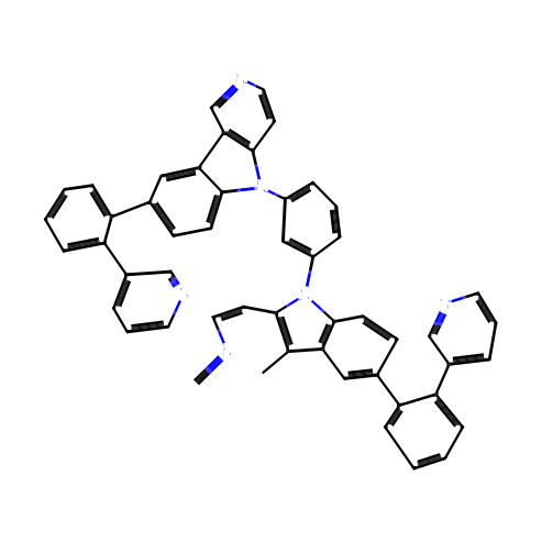 C=N/C=C\c1c(C)c2cc(-c3ccccc3-c3cccnc3)ccc2n1-c1cccc(-n2c3ccncc3c3cc(-c4ccccc4-c4cccnc4)ccc32)c1